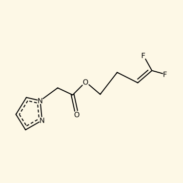 O=C(Cn1cccn1)OCCC=C(F)F